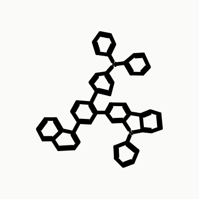 c1ccc(N(c2ccccc2)c2ccc(-c3ccc(-c4cccc5ccccc45)cc3-c3ccc4c5ccccc5n(-c5ccccc5)c4c3)cc2)cc1